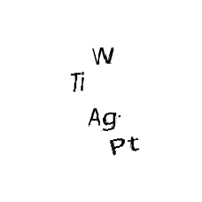 [Ag].[Pt].[Ti].[W]